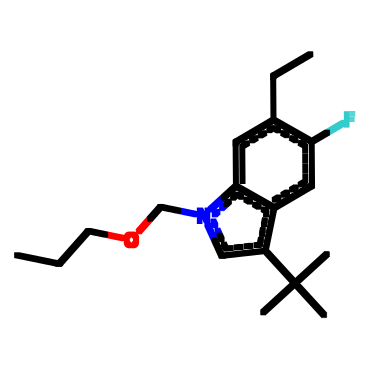 CCCOCn1cc(C(C)(C)C)c2cc(F)c(CC)cc21